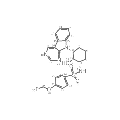 O=S(=O)(N[C@H]1CCC[C@@H](n2c3ccccc3c3cncnc32)[C@@H]1O)c1ccc(OCF)cc1